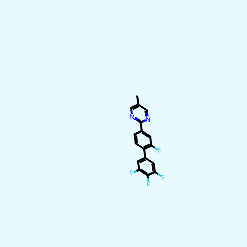 Cc1cnc(-c2ccc(-c3cc(F)c(F)c(F)c3)c(F)c2)nc1